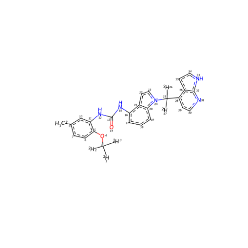 [2H]C([2H])([2H])Oc1ccc(C)cc1NC(=O)Nc1cccc2c1ccn2C([2H])([2H])c1ccnc2[nH]ccc12